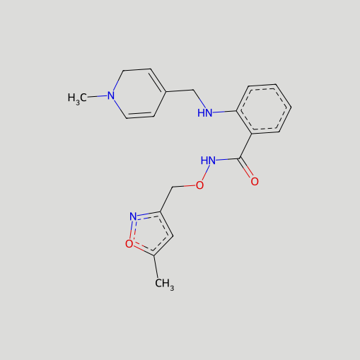 Cc1cc(CONC(=O)c2ccccc2NCC2=CCN(C)C=C2)no1